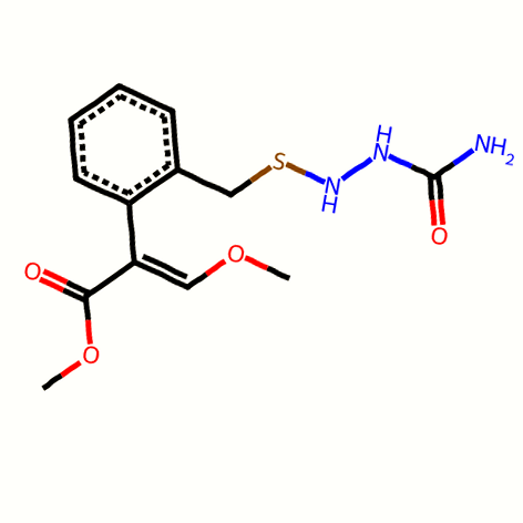 CO/C=C(/C(=O)OC)c1ccccc1CSNNC(N)=O